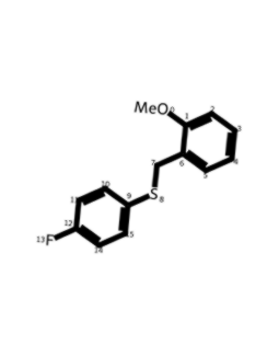 COc1ccccc1CSc1ccc(F)cc1